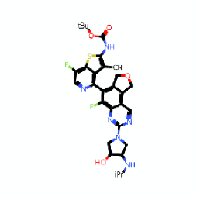 CC(C)NC1CN(c2ncc3c4c(c(-c5ncc(F)c6sc(NC(=O)OC(C)(C)C)c(C#N)c56)c(F)c3n2)COC4)CC1O